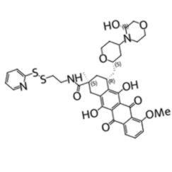 COc1cccc2c1C(=O)c1c(O)c3c(c(O)c1C2=O)C[C@@](C)(C(=O)NCCSSc1ccccn1)C[C@@H]3C[C@H]1CC(N2CCOC[C@H]2O)CCO1